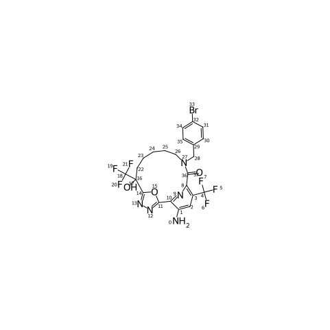 Nc1cc(C(F)(F)F)c2nc1-c1nnc(o1)C(O)(C(F)(F)F)CCCCCN(Cc1ccc(Br)cc1)C2=O